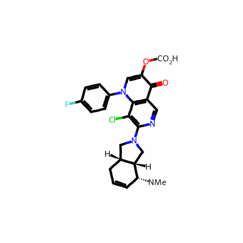 CN[C@@H]1C=CC[C@@H]2CN(c3ncc4c(=O)c(OC(=O)O)cn(-c5ccc(F)cc5)c4c3Cl)C[C@@H]21